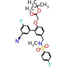 CN(Cc1ccc(OCC(=O)OC(C)(C)C)c(-c2cc(F)cc(C#N)c2)c1)S(=O)(=O)c1ccc(F)cc1